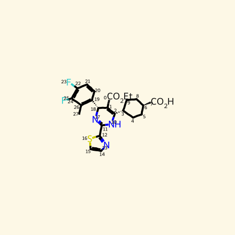 CCOC(=O)C1=C([C@H]2CC[C@H](C(=O)O)CC2)NC(c2nccs2)=N[C@@H]1c1ccc(F)c(F)c1C